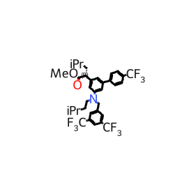 COC(=O)[C@H](CC(C)C)c1cc(-c2ccc(C(F)(F)F)cc2)cc(N(CCC(C)C)Cc2cc(C(F)(F)F)cc(C(F)(F)F)c2)c1